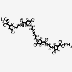 COC(=O)C1CC(=O)N(CCNC(=O)C2CC(=O)N(CCSSCCN3CC(C(=O)NCCN4CC(C(=O)OC)CC4=O)CC3=O)C2)C1